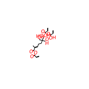 C=CC(=O)O.C=CC(=O)O.C=CC(=O)OC(=O)C(C)=CCCC(CO)(CO)CO